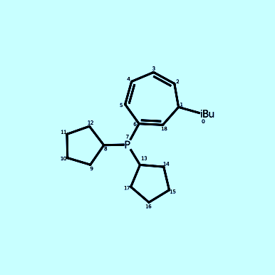 CCC(C)C1C=CC=CC(P(C2CCCC2)C2CCCC2)=C1